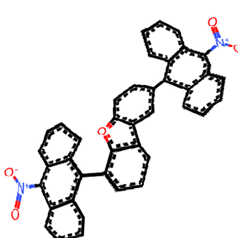 O=[N+]([O-])c1c2ccccc2c(-c2ccc3oc4c(-c5c6ccccc6c([N+](=O)[O-])c6ccccc56)cccc4c3c2)c2ccccc12